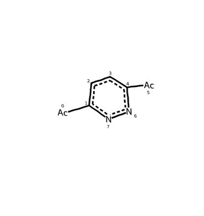 CC(=O)c1ccc(C(C)=O)nn1